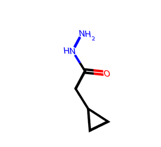 NNC(=O)CC1CC1